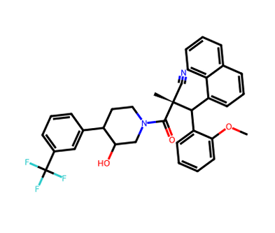 COc1ccccc1C(c1cccc2ccccc12)[C@@](C)(C#N)C(=O)N1CCC(c2cccc(C(F)(F)F)c2)C(O)C1